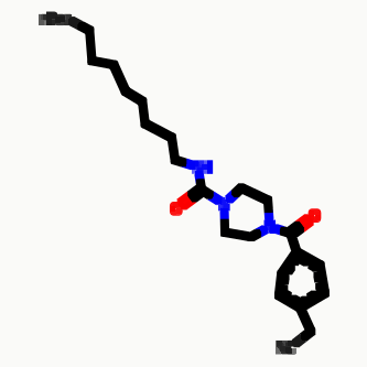 CCCCCCCCCCCCCCCCCCNC(=O)N1CCN(C(=O)c2ccc(CC#N)cc2)CC1